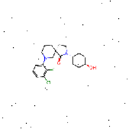 O=C1N([C@H]2CC[C@H](O)CC2)CC[C@]12CCCN(c1cccc(Cl)c1F)C2